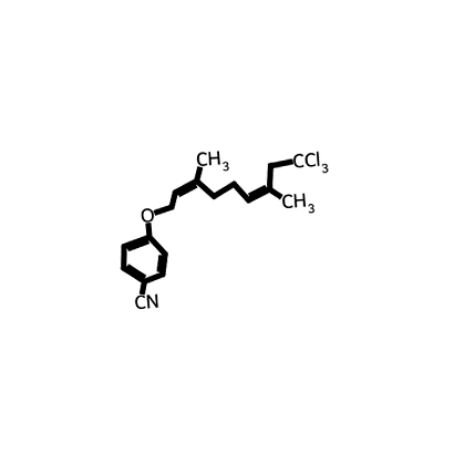 CC(=CCOc1ccc(C#N)cc1)CCC=C(C)CC(Cl)(Cl)Cl